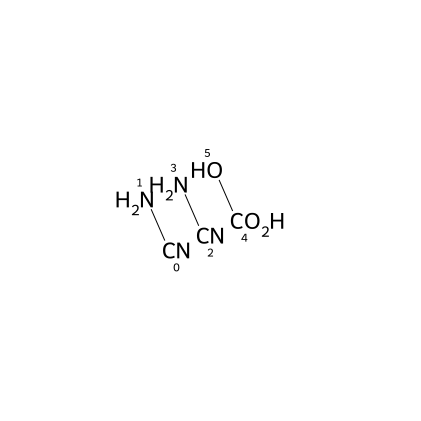 N#CN.N#CN.O=C(O)O